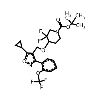 CC(C)(C)OC(=O)N1CCC(OCc2c(-c3ccccc3OC(F)(F)F)noc2C2CC2)C(F)(F)C1